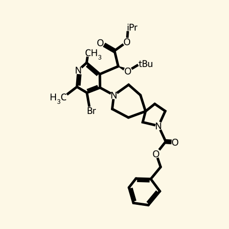 Cc1nc(C)c([C@H](OC(C)(C)C)C(=O)OC(C)C)c(N2CCC3(CCN(C(=O)OCc4ccccc4)C3)CC2)c1Br